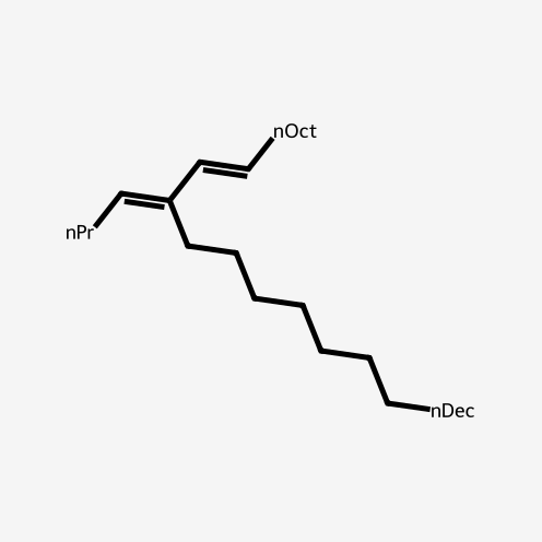 CCCC=C(C=CCCCCCCCC)CCCCCCCCCCCCCCCCC